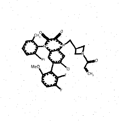 C=CC(=O)N1CC(Cn2c(=O)c(=O)n(-c3c(C)cccc3C(C)C)c3cc(-c4c(OC)ccc(F)c4F)c(Cl)cc32)C1